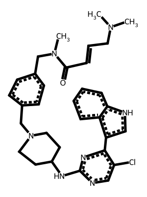 CN(C)C/C=C/C(=O)N(C)Cc1ccc(CN2CCC(Nc3ncc(Cl)c(-c4c[nH]c5ccccc45)n3)CC2)cc1